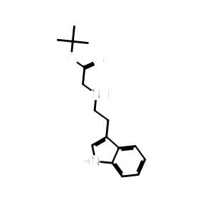 CC(C)(C)OC(=O)CNCCc1c[nH]c2ccccc12